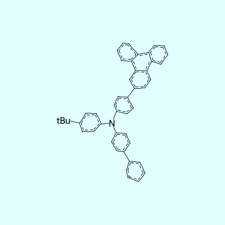 CC(C)(C)c1ccc(N(c2ccc(-c3ccccc3)cc2)c2ccc(-c3ccc4c5ccccc5c5ccccc5c4c3)cc2)cc1